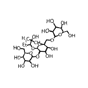 CCC(OC1OC(COC2OC(CO)C(O)C(O)C2O)C(O)C(O)C1OC1OC(CO)C(O)C(O)C1O)C(C)(C)O